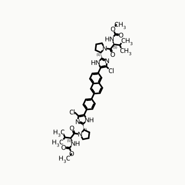 COC(=O)N[C@H](C(=O)N1CCC[C@H]1c1nc(Cl)c(-c2ccc(-c3ccc4cc(-c5[nH]c([C@@H]6CCCN6C(=O)[C@@H](NC(=O)OC)C(C)C)nc5Cl)ccc4c3)cc2)[nH]1)C(C)C